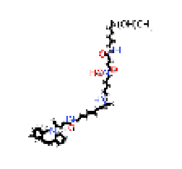 C=C(CCCCCCCNC(=O)CCC(=C)N1Cc2ccccc2C#Cc2ccccc21)NCCCCCN(O)C(=O)CCC(=O)NCCCCCN(C)O